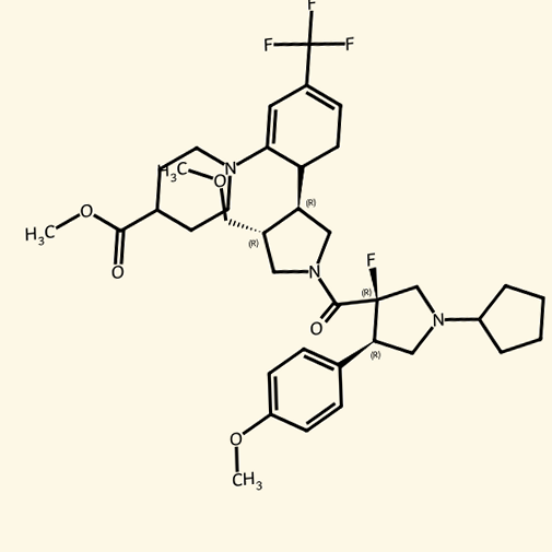 COC[C@H]1CN(C(=O)[C@]2(F)CN(C3CCCC3)C[C@H]2c2ccc(OC)cc2)C[C@@H]1C1CC=C(C(F)(F)F)C=C1N1CCC(C(=O)OC)CC1